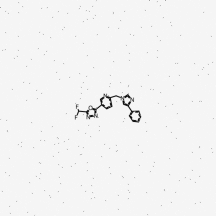 FC(F)c1nnc(-c2ccc(Cn3cnc(-c4ccccc4)c3)nc2)o1